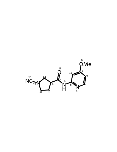 COc1ccnc(NC(=O)C2CCN(C#N)C2)c1